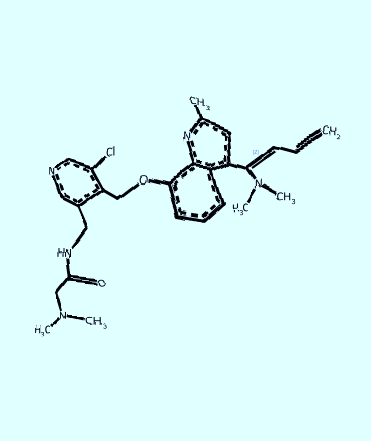 C=C/C=C(/c1cc(C)nc2c(OCc3c(Cl)cncc3CNC(=O)CN(C)C)cccc12)N(C)C